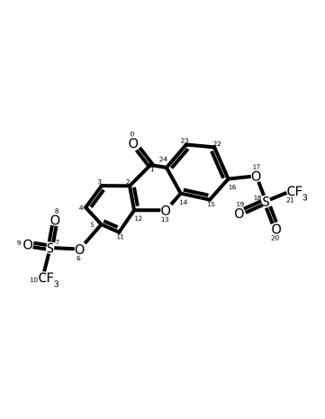 O=c1c2ccc(OS(=O)(=O)C(F)(F)F)cc2oc2cc(OS(=O)(=O)C(F)(F)F)ccc12